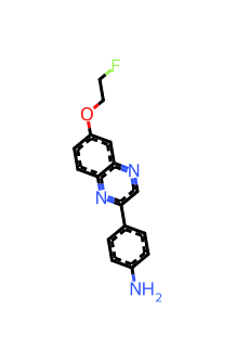 Nc1ccc(-c2cnc3cc(OCCF)ccc3n2)cc1